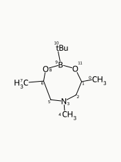 CC1CN(C)CC(C)OB(C(C)(C)C)O1